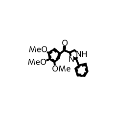 COc1cc(C(=O)C2CNC(c3ccccc3)=N2)cc(OC)c1OC